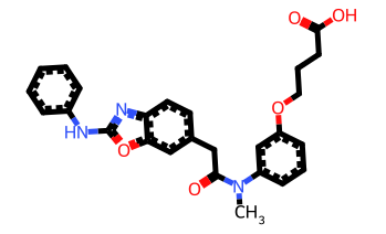 CN(C(=O)Cc1ccc2nc(Nc3ccccc3)oc2c1)c1cccc(OCCCC(=O)O)c1